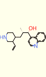 C=CC1CNCCC1C[C@H](C)[C@H](O)c1ccnc2ccccc12